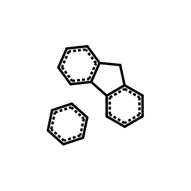 c1ccc2c(c1)Cc1ccccc1-2.c1ccccc1